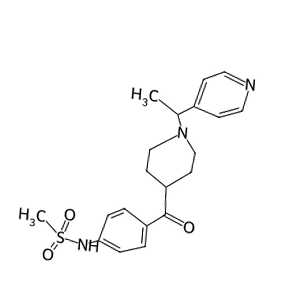 CC(c1ccncc1)N1CCC(C(=O)c2ccc(NS(C)(=O)=O)cc2)CC1